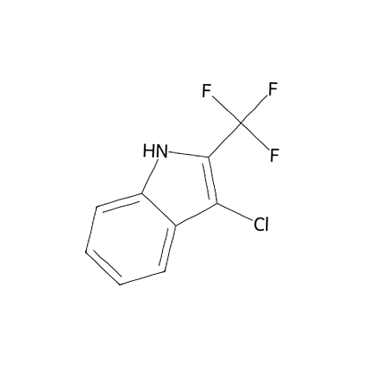 FC(F)(F)c1[nH]c2ccccc2c1Cl